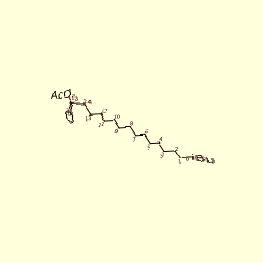 CCC(C)CCCCCCCCCCCCCCC(=O)OC(C)=O